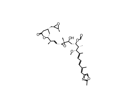 CO[C@@H](/C(C)=C/C=C/C(C)=C/c1coc(C)n1)[C@@H](C)[C@H](C[C@H](O)[C@]1(C)O[C@@H]1/C=C/[C@@H](C)[C@H]1C[C@@H](C[C@H]2O[C@H]2C)CC(=O)O1)OC=O